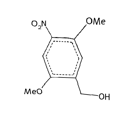 COc1cc([N+](=O)[O-])c(OC)cc1CO